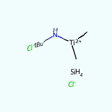 [CH3][Ti+2]([CH3])[NH]C(C)(C)C.[Cl-].[Cl-].[SiH4]